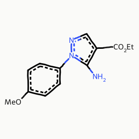 CCOC(=O)c1cnn(-c2ccc(OC)cc2)c1N